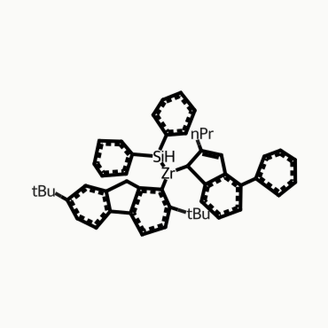 CCCC1=Cc2c(-c3ccccc3)cccc2[CH]1[Zr]([c]1c(C(C)(C)C)ccc2c1Cc1cc(C(C)(C)C)ccc1-2)[SiH](c1ccccc1)c1ccccc1